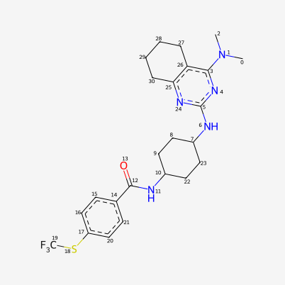 CN(C)c1nc(NC2CCC(NC(=O)c3ccc(SC(F)(F)F)cc3)CC2)nc2c1CCCC2